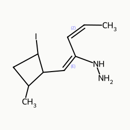 C/C=C\C(=C/C1C(C)CC1I)NN